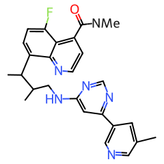 CNC(=O)c1ccnc2c(C(C)C(C)CNc3cc(-c4cncc(C)c4)ncn3)ccc(F)c12